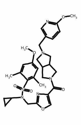 COc1cc(C)c(S(=O)(=O)N(Cc2nc(C(=O)N3CC4CN(Cc5ccc(OC)nc5)CC4C3)co2)C2CC2)c(C)c1